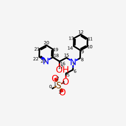 CS(=O)(=O)OCCN(Cc1ccccc1)CC(O)c1ccccn1